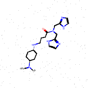 CCCN(CCC)[C@H]1CC[C@H](NCCCC(=O)N(Cc2ncc[nH]2)Cc2ncc[nH]2)CC1